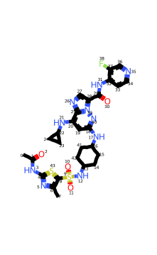 CC(=O)Nc1nc(C)c(S(=O)(=O)NC2CCC(Nc3cc(NC4CC4)c4ncc(C(=O)Nc5ccncc5F)n4n3)CC2)s1